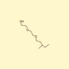 CCC(C)CCOCCOCCO